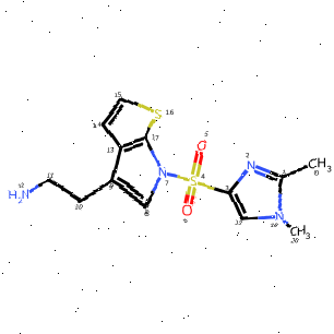 Cc1nc(S(=O)(=O)n2cc(CCN)c3ccsc32)cn1C